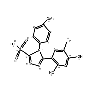 COc1ccc(-n2c(-c3cc(C(C)C)c(O)cc3O)nnc2S(C)(=O)=O)cc1